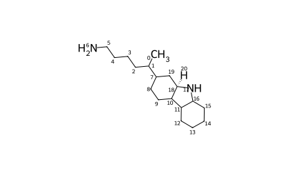 CC(CCCCN)C1CCC2C3CCCCC3N[C@@H]2C1